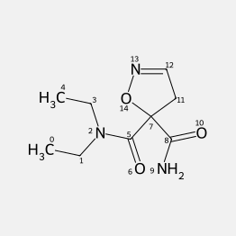 CCN(CC)C(=O)C1(C(N)=O)CC=NO1